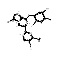 Cc1cc(F)c(Cc2nc(-c3ncc(F)c(O)n3)cn3c(Br)cnc23)cc1F